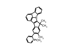 Cc1cc2c(cc1-c1cccc[n+]1C)-c1c(n3c4ccccc4c4cccc1c43)C2(C)C